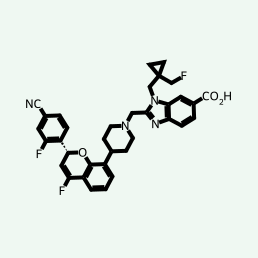 N#Cc1ccc([C@H]2C=C(F)c3cccc(C4CCN(Cc5nc6ccc(C(=O)O)cc6n5CC5(CF)CC5)CC4)c3O2)c(F)c1